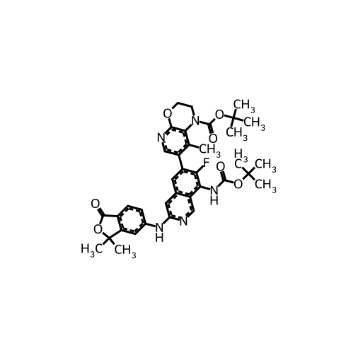 Cc1c(-c2cc3cc(Nc4ccc5c(c4)C(C)(C)OC5=O)ncc3c(NC(=O)OC(C)(C)C)c2F)cnc2c1N(C(=O)OC(C)(C)C)CCO2